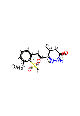 COc1cccc(C=CC2=NNC(=O)CC2C)c1S(C)(=O)=O